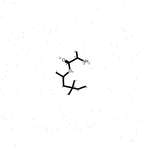 CCC(C)(C)CC(C)OC(=O)C(C)N